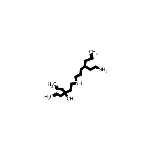 C=CCC(C/C=C/NCCC(C)(CC=C)CC=C)CCN